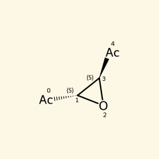 CC(=O)[C@H]1O[C@@H]1C(C)=O